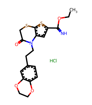 CCOC(=N)c1cc2c(s1)SCC(=O)N2CCc1ccc2c(c1)OCCO2.Cl